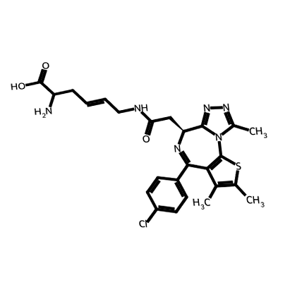 Cc1sc2c(c1C)C(c1ccc(Cl)cc1)=N[C@@H](CC(=O)NC/C=C/CC(N)C(=O)O)c1nnc(C)n1-2